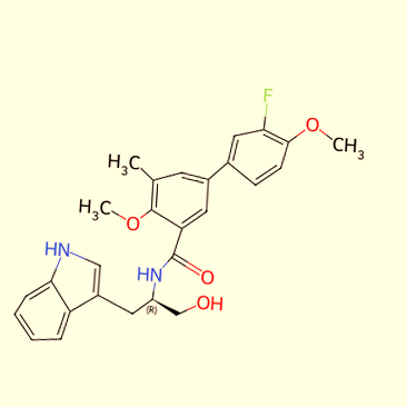 COc1ccc(-c2cc(C)c(OC)c(C(=O)N[C@@H](CO)Cc3c[nH]c4ccccc34)c2)cc1F